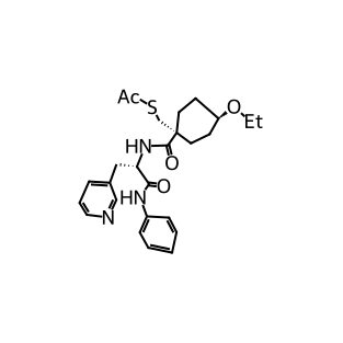 CCO[C@H]1CC[C@@](CSC(C)=O)(C(=O)N[C@@H](Cc2cccnc2)C(=O)Nc2ccccc2)CC1